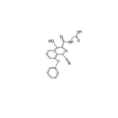 N#Cc1nc(C(=O)NCC(=O)O)c(O)c2cccc(Oc3ccccc3)c12